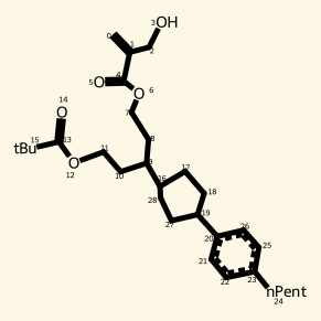 C=C(CO)C(=O)OCCC(CCOC(=O)C(C)(C)C)C1CCC(c2ccc(CCCCC)cc2)CC1